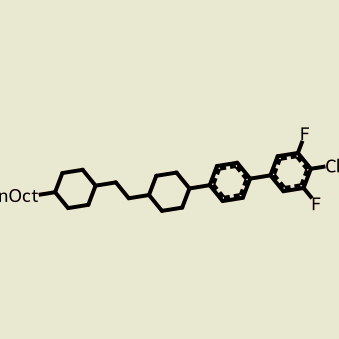 CCCCCCCCC1CCC(CCC2CCC(c3ccc(-c4cc(F)c(Cl)c(F)c4)cc3)CC2)CC1